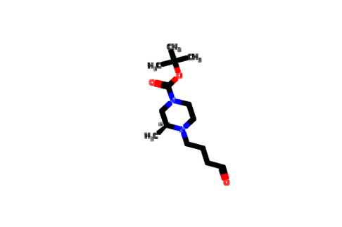 C[C@H]1CN(C(=O)OC(C)(C)C)CCN1CCCC=O